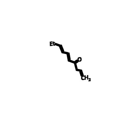 C=CCC(=O)C=CC=CCC